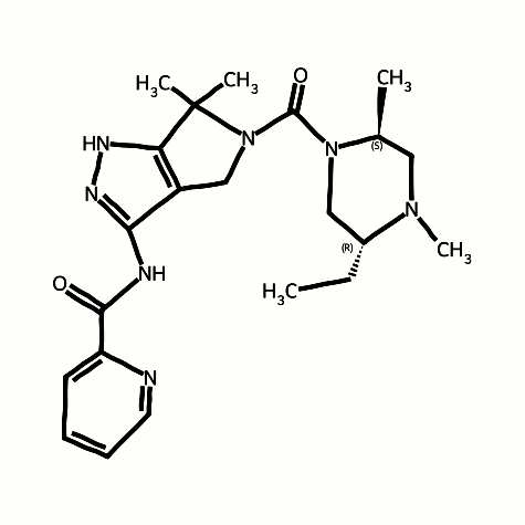 CC[C@@H]1CN(C(=O)N2Cc3c(NC(=O)c4ccccn4)n[nH]c3C2(C)C)[C@@H](C)CN1C